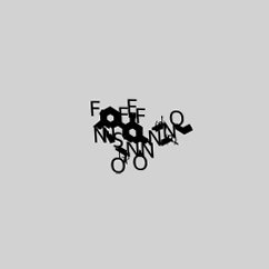 C=CC(=O)N1[C@H](C)CN(c2nc(=O)n3c4c(c(-c5ccc(F)c6cnn(C)c56)c(C(F)(F)F)cc24)SC[C@@H]3COC)C[C@@H]1C